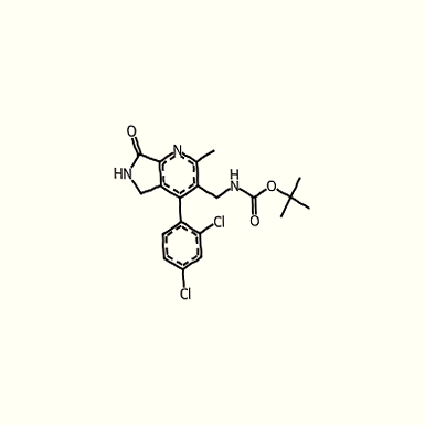 Cc1nc2c(c(-c3ccc(Cl)cc3Cl)c1CNC(=O)OC(C)(C)C)CNC2=O